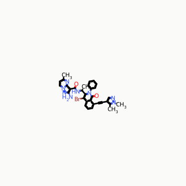 Cc1ccn2nc(N)c(C(=O)N[C@@H](C)c3c(Br)c4cccc(C#Cc5cnn(C)c5C)c4c(=O)n3-c3ccccc3)c2n1